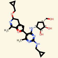 CC1=NC(OCC2CC2)Cc2cc(-c3c(C)nc(NCC4CC4)nc3N[C@@H]3C[C@H](CO)[C@@H](O)[C@H]3O)oc21